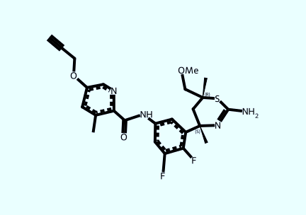 C#CCOc1cnc(C(=O)Nc2cc(F)c(F)c([C@]3(C)C[C@](C)(COC)SC(N)=N3)c2)c(C)c1